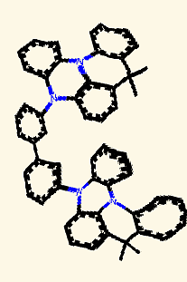 CC1(C)c2ccccc2N2c3ccccc3N(c3cccc(-c4cccc(N5c6ccccc6N6c7ccccc7C(C)(C)c7cccc5c76)c4)c3)c3cccc1c32